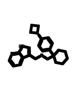 c1cnc2[nH]cc(COCC3(c4ccc(N5CCC5)cc4)CCCCC3)c2c1